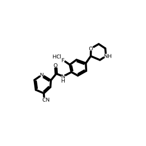 Cl.N#Cc1ccnc(C(=O)Nc2ccc(C3CNCCO3)cc2F)c1